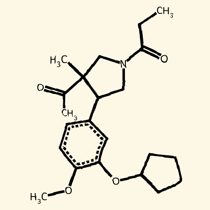 CCC(=O)N1CC(c2ccc(OC)c(OC3CCCC3)c2)C(C)(C(C)=O)C1